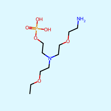 CCOCCN(CCOCCN)CCOP(=O)(O)O